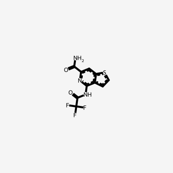 NC(=O)c1cc2sccc2c(NC(=O)C(F)(F)F)n1